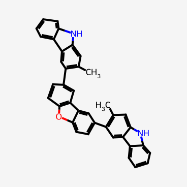 Cc1cc2[nH]c3ccccc3c2cc1-c1ccc2oc3ccc(-c4cc5c(cc4C)[nH]c4ccccc45)cc3c2c1